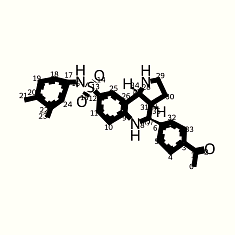 CC(=O)c1ccc([C@H]2Nc3ccc(S(=O)(=O)Nc4ccc(C)c(C)c4)cc3[C@H]3NCC[C@@H]23)cc1